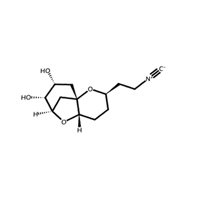 [C-]#[N+]CC[C@H]1CC[C@@H]2O[C@@H]3C[C@]2(C[C@@H](O)[C@H]3O)O1